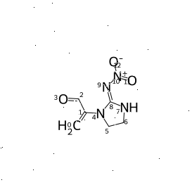 C=C(C=O)N1CCN/C1=N\[N+](=O)[O-]